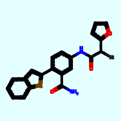 CCC(C(=O)Nc1ccc(-c2cc3ccccc3s2)c(C(N)=O)c1)c1ccco1